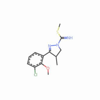 COc1c(Cl)cccc1C1=NN(C(=N)SC)CC1C